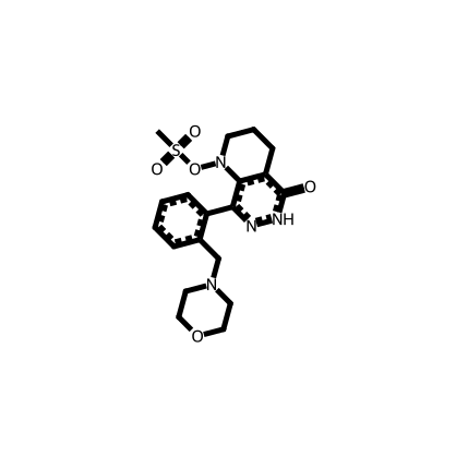 CS(=O)(=O)ON1CCCc2c1c(-c1ccccc1CN1CCOCC1)n[nH]c2=O